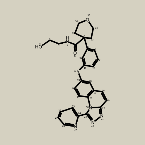 O=C(NCCO)C1(c2cccc(Sc3ccc4c(ccc5nnc(-c6ccccn6)n54)c3)c2)CCOCC1